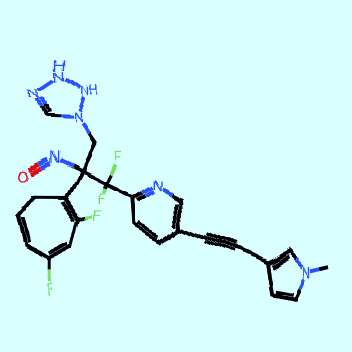 Cn1ccc(C#Cc2ccc(C(F)(F)C(CN3C=NNN3)(N=O)C3=C(F)C=C(F)C=CC3)nc2)c1